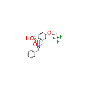 O=S(O)c1ccc(OC2CC(F)(F)C2)cc1CNCc1ccccc1